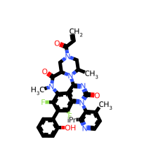 C=CC(=O)N1CC(C)N2c3nc(=O)n(-c4c(C)ccnc4C(C)C)c4c(F)c(-c5ccccc5O)c(F)c(c34)N(C)C(=O)C2C1